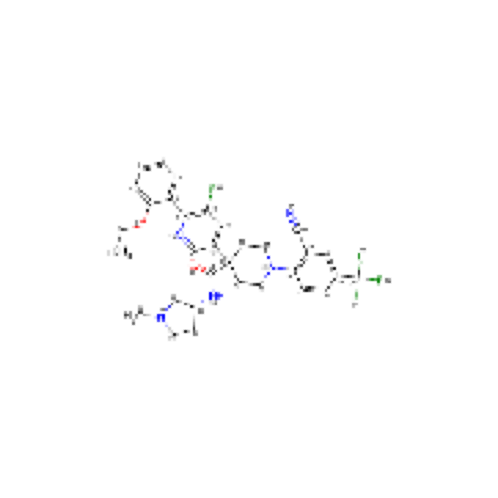 CCOc1ccccc1-c1ncc(C2(C(=O)N[C@@H]3CCN(C)C3)CCN(c3ccc(C(F)(F)F)cc3C#N)CC2)cc1F